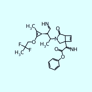 CC1=C(OCC(C)(F)F)[C@@H]1C(C=N)C(C)N1CC2(C(=N)C(=O)Oc3ccccc3)C=CC2C1=O